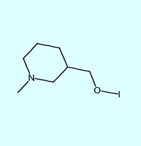 CN1CCCC(COI)C1